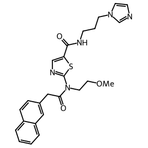 COCCN(C(=O)Cc1ccc2ccccc2c1)c1ncc(C(=O)NCCCn2ccnc2)s1